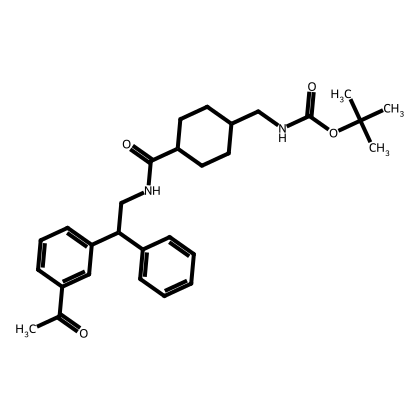 CC(=O)c1cccc(C(CNC(=O)C2CCC(CNC(=O)OC(C)(C)C)CC2)c2ccccc2)c1